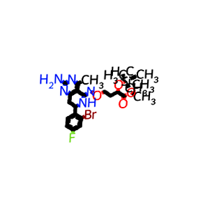 COC(=O)C(CCON=C1NC(c2ccc(F)cc2Br)Cc2nc(N)nc(C)c21)O[Si](C)(C)C(C)(C)C